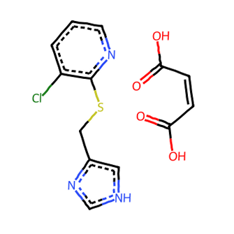 Clc1cccnc1SCc1c[nH]cn1.O=C(O)/C=C\C(=O)O